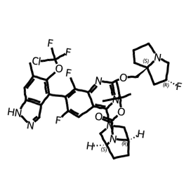 Cc1cc2[nH]ncc2c(-c2c(F)cc3c(N4C[C@H]5CC[C@@H](C4)N5C(=O)OC(C)(C)C)nc(OC[C@@]45CCCN4C[C@H](F)C5)nc3c2F)c1OC(F)(F)Cl